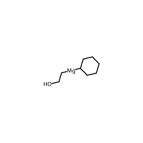 OC[CH2][Mg][CH]1CCCCC1